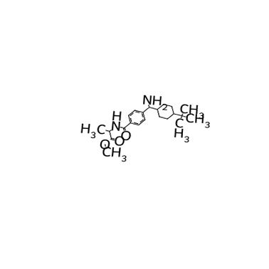 COC(=O)C(C)NC(=O)c1ccc(C(N)C2CCC(C(C)(C)C)CC2)cc1